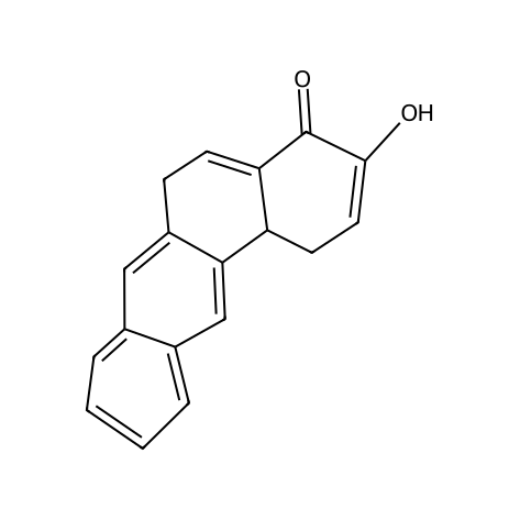 O=C1C(O)=CCC2C1=CCc1cc3ccccc3cc12